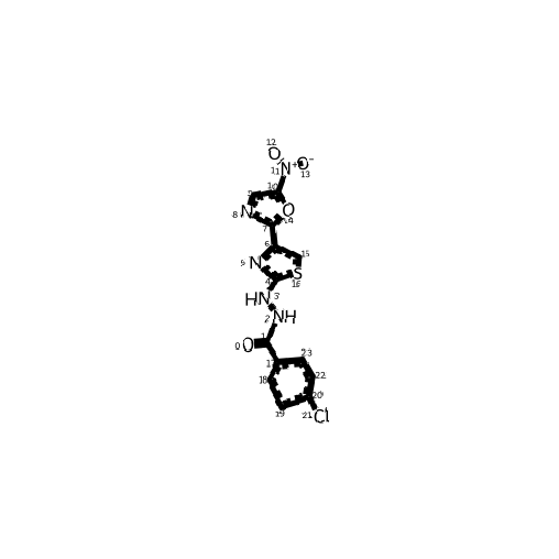 O=C(NNc1nc(-c2ncc([N+](=O)[O-])o2)cs1)c1ccc(Cl)cc1